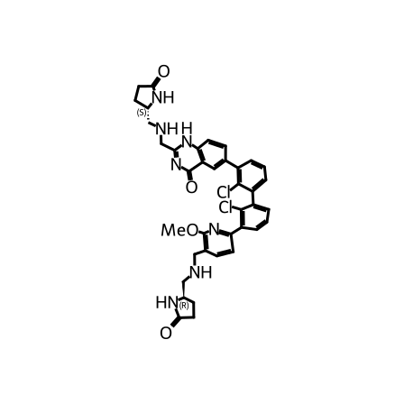 COc1nc(-c2cccc(-c3cccc(-c4ccc5[nH]c(CNC[C@@H]6CCC(=O)N6)nc(=O)c5c4)c3Cl)c2Cl)ccc1CNC[C@H]1CCC(=O)N1